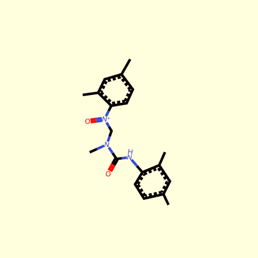 Cc1ccc(NC(=O)N(C)C[N+](=O)c2ccc(C)cc2C)c(C)c1